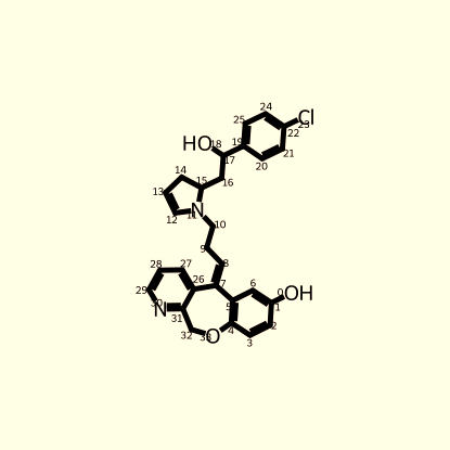 Oc1ccc2c(c1)/C(=C/CCN1C=CCC1CC(O)c1ccc(Cl)cc1)c1cccnc1CO2